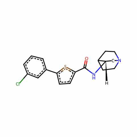 O=C(N[C@H]1CN2CCC1CC2)c1ccc(-c2cccc(Cl)c2)s1